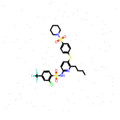 CCCCc1nc(NS(=O)(=O)c2ccc(C(F)(F)F)cc2Cl)ccc1Sc1ccc(S(=O)(=O)N2CCCCC2)cc1